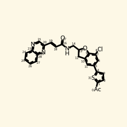 CC(=O)c1ccc(-c2cc(Cl)c3c(c2)CC(CNC(=O)C=Cc2cnc4ccccc4n2)O3)s1